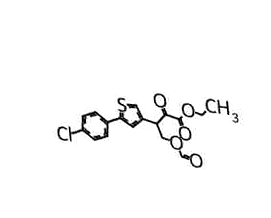 CCOC(=O)C(=O)C(COC=O)c1csc(-c2ccc(Cl)cc2)c1